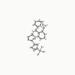 FC(F)(F)c1nc(-c2ccc(CN(c3cnccn3)c3ncccc3C3CC3)s2)no1